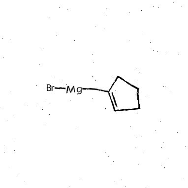 [Br][Mg][C]1=CCCC1